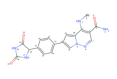 CC(C)Nc1c(C(N)=O)cnn2cc(-c3ccc(C4NC(=O)NC4=O)cc3)cc12